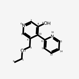 CCOCc1cncc(O)c1-c1ccccn1